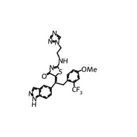 COc1ccc(CC(=C2SC(NCCn3cncn3)=NC2=O)c2ccc3[nH]ncc3c2)c(C(F)(F)F)c1